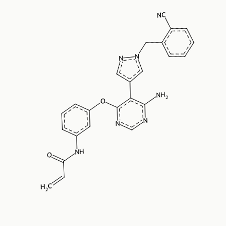 C=CC(=O)Nc1cccc(Oc2ncnc(N)c2-c2cnn(Cc3ccccc3C#N)c2)c1